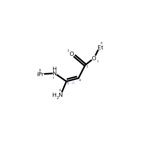 CCOC(=O)/C=C(/N)NC(C)C